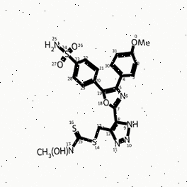 COc1ccc(-c2nc(-c3[nH]nnc3CSC(=S)N(C)O)oc2-c2ccc(S(N)(=O)=O)cc2)cc1